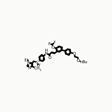 CCCCOCCOc1ccc(-c2ccc(OC(F)F)c(/C=C/C(=O)Nc3ccc([S+]([O-])Cc4c(C)ncn4CC)cc3)c2)cc1